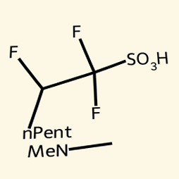 CCCCCC(F)C(F)(F)S(=O)(=O)O.CNC